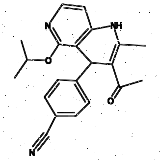 CC(=O)C1=C(C)Nc2ccnc(OC(C)C)c2C1c1ccc(C#N)cc1